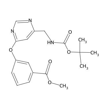 COC(=O)c1cccc(Oc2cc(CNC(=O)OC(C)(C)C)ncn2)c1